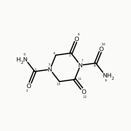 NC(=O)N1CC(=O)N(C(N)=O)C(=O)C1